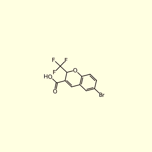 O=C(O)C1=Cc2cc(Br)ccc2OC1C(F)(F)F